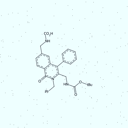 CC(C)Cn1c(CNC(=O)OC(C)(C)C)c(-c2ccccc2)c2cc(CNC(=O)O)ccc2c1=O